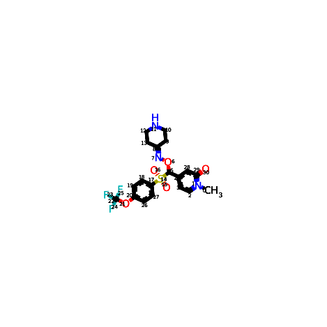 Cn1ccc(C(ON=C2CCNCC2)S(=O)(=O)c2ccc(OC(F)(F)F)cc2)cc1=O